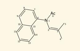 CC(=O)N(C=C(C)C)c1cccc2ccccc12